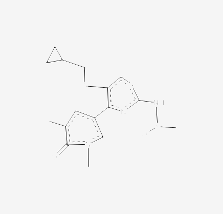 Cc1cc(-c2nc(N[S+](C)[O-])ncc2OCC2CC2)cn(C)c1=O